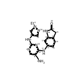 CCn1cc(Nc2ncc(N)c(Nc3ccc4c(c3)NC(=O)C4)n2)cn1